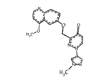 COc1ccnc2ccc(OCc3nn(-c4cnn(C)c4)ccc3=O)cc12